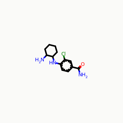 NC(=O)c1ccc(NC2CCCCC2N)c(Cl)c1